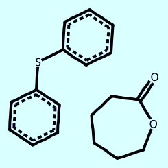 O=C1CCCCCO1.c1ccc(Sc2ccccc2)cc1